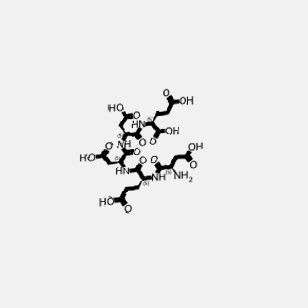 N[C@@H](CC(=O)O)C(=O)N[C@@H](CCC(=O)O)C(=O)N[C@@H](CC(=O)O)C(=O)N[C@@H](CC(=O)O)C(=O)N[C@@H](CCC(=O)O)C(=O)O